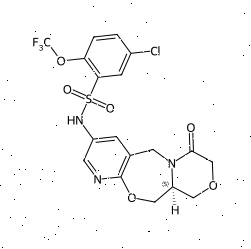 O=C1COC[C@H]2COc3ncc(NS(=O)(=O)c4cc(Cl)ccc4OC(F)(F)F)cc3CN12